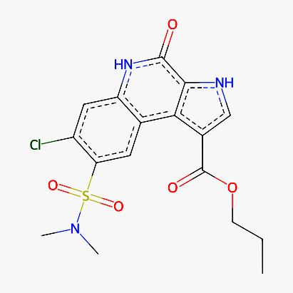 CCCOC(=O)c1c[nH]c2c(=O)[nH]c3cc(Cl)c(S(=O)(=O)N(C)C)cc3c12